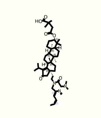 C=N/C(=C\C=C/C)CN(CC[C@@]12CC[C@]3(C)[C@H](CC[C@@H]4[C@@]5(C)CC[C@H](OC(=O)CC(C)(C)C(=O)O)C(C)(C)[C@@H]5CC[C@]43C)C1=C(C(C)C)C(=O)C2)C(=O)CN(C)C